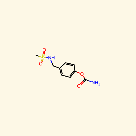 CS(=O)(=O)NCc1ccc(OC(N)=O)cc1